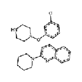 Clc1cccc(ON2CCNCC2)c1.c1ccc2nc(N3CCCCC3)ccc2c1